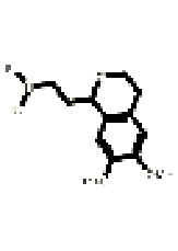 CCN(CC)CCC1OCCc2cc(OC)c(OC)cc21